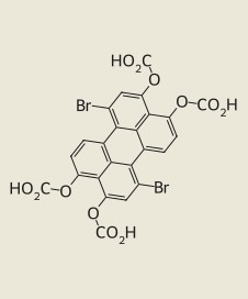 O=C(O)Oc1ccc2c3c(Br)cc(OC(=O)O)c4c(OC(=O)O)ccc(c5c(Br)cc(OC(=O)O)c1c25)c43